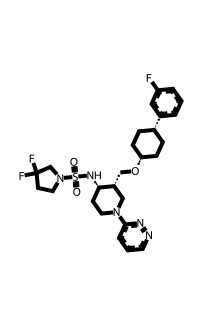 O=S(=O)(N[C@H]1CCN(c2cccnn2)C[C@H]1CO[C@H]1CC[C@@H](c2cccc(F)c2)CC1)N1CCC(F)(F)C1